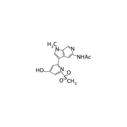 CC(=O)Nc1cc2c(-c3cc(CO)cc(S(C)(=O)=O)n3)cn(C)c2cn1